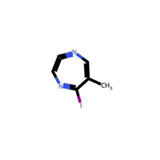 CC1=CN=C=CN=C1I